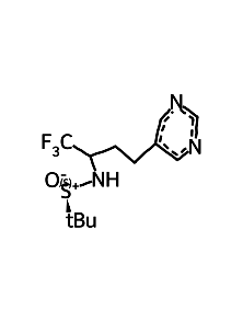 CC(C)(C)[S@@+]([O-])NC(CCc1cncnc1)C(F)(F)F